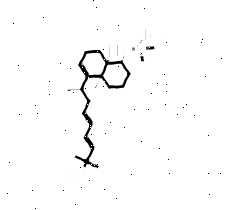 C[C@H](C/C=C/C=C/C(C)(C)O)C1=CCC[C@H]2[C@@H](O[Si](C)(C)C(C)(C)C)CCC[C@]12C